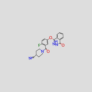 N#CC1CCN(C(=O)c2cc(Oc3n[nH]c(=O)c4ccccc34)ccc2F)CC1